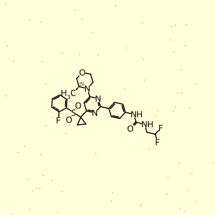 C[C@H]1COCCN1c1cc(C2(S(=O)(=O)c3ccccc3F)CC2)nc(-c2ccc(NC(=O)NCC(F)F)cc2)n1